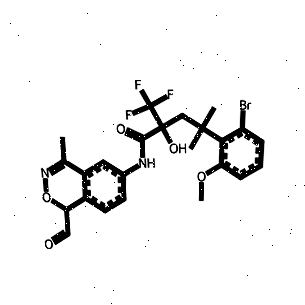 COc1cccc(Br)c1C(C)(C)CC(O)(C(=O)Nc1ccc2c(c1)C(C)=NOC2C=O)C(F)(F)F